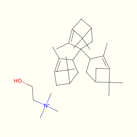 CC1=C2CC(CC1C1(C3CC4CC(=C3C)C4(C)C)CC3CC(=C1C)C3(C)C)C2(C)C.C[N+](C)(C)CCO